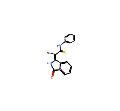 N#CC(C(=S)Nc1ccccc1)=C1NC(=O)c2ccccc21